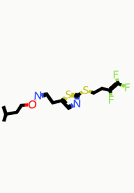 CC(C)CCO/N=C\Cc1cnc(SCCC(F)=C(F)F)s1